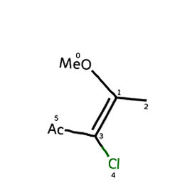 CO/C(C)=C(/Cl)C(C)=O